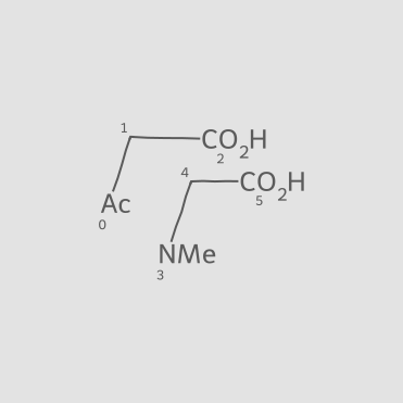 CC(=O)CC(=O)O.CNCC(=O)O